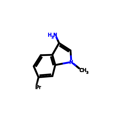 CC(C)c1ccc2c(N)cn(C)c2c1